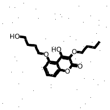 CCCCOc1c(O)c2c(OCCCCO)cccc2oc1=O